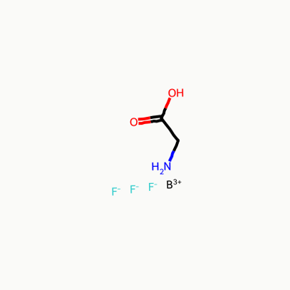 NCC(=O)O.[B+3].[F-].[F-].[F-]